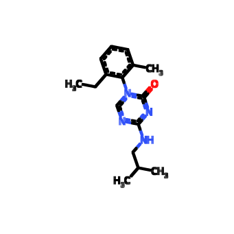 CCc1cccc(C)c1-n1cnc(NCC(C)C)nc1=O